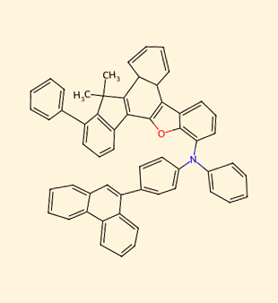 CC1(C)C2=C(c3cccc(-c4ccccc4)c31)c1oc3c(N(c4ccccc4)c4ccc(-c5cc6ccccc6c6ccccc56)cc4)cccc3c1C1C=CC=CC21